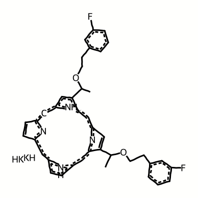 CC(OCCc1cccc(F)c1)C1=Cc2cc3[nH]c(cc4nc(cc5ccc(cc1n2)[nH]5)C=C4)cc3C(C)OCCc1cccc(F)c1.[KH].[KH]